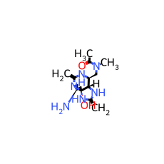 C=C1N[C@H]2[C@H](CN(C)C(C)=O)NC(=C)N3C[C@H](N)[C@H](O)[C@]23N1